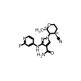 C[C@H]1OCC[C@@H](C#N)C1n1cc(C(N)=O)c(Nc2ccnc(F)c2)n1